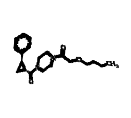 CCCCOCC(=O)N1CCN(C(=O)[C@@H]2C[C@H]2c2ccccc2)CC1